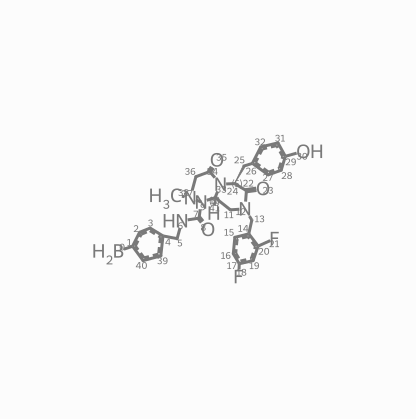 Bc1ccc(CNC(=O)N2[C@H]3CN(Cc4ccc(F)cc4F)C(=O)[C@H](Cc4ccc(O)cc4)N3C(=O)CN2C)cc1